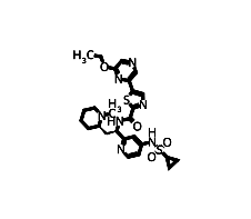 CCOc1cncc(-c2cnc(C(=O)N[C@H](C[C@H]3CCCCN3C)c3cc(NS(=O)(=O)C4CC4)ccn3)s2)n1